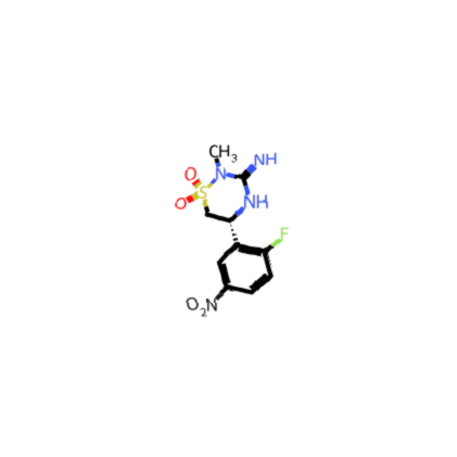 CN1C(=N)N[C@H](c2cc([N+](=O)[O-])ccc2F)CS1(=O)=O